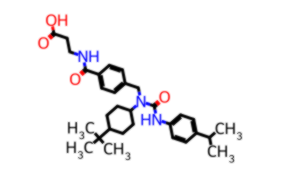 CC(C)c1ccc(NC(=O)N(Cc2ccc(C(=O)NCCC(=O)O)cc2)C2CCC(C(C)(C)C)CC2)cc1